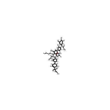 CCCCC(c1ccc(-c2ccc(N(c3ccc(C)c(C)c3)C(C)CC)c(F)c2)cc1F)C(CCC)N(c1ccc(-c2ccc(C(C)(C)CC)cc2)cc1)c1ccc(C)c(C)c1